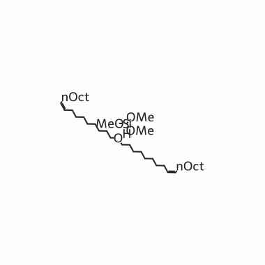 CCCCCCCC/C=C\CCCCCCCCOCCCCCCCC/C=C\CCCCCCCC.CO[SiH](OC)OC